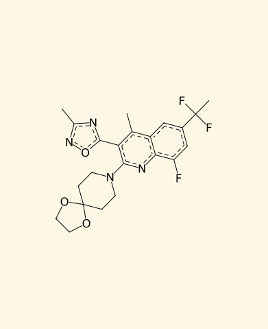 Cc1noc(-c2c(N3CCC4(CC3)OCCO4)nc3c(F)cc(C(C)(F)F)cc3c2C)n1